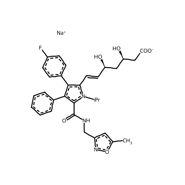 Cc1cc(CNC(=O)c2c(-c3ccccc3)c(-c3ccc(F)cc3)c(C=C[C@@H](O)C[C@@H](O)CC(=O)[O-])n2C(C)C)no1.[Na+]